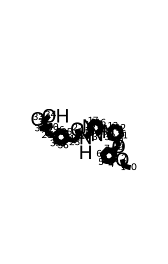 CCOc1ccccc1OC1CCCN(c2ccnc(NC(=O)Cc3ccc(CC(C)(C)C(=O)O)cc3)n2)C1